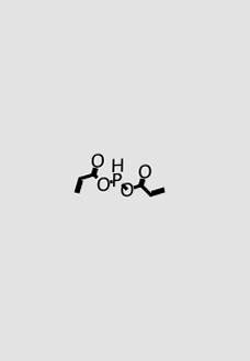 C=CC(=O)OPOC(=O)C=C